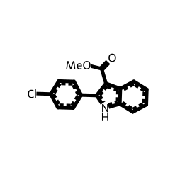 COC(=O)c1c(-c2ccc(Cl)cc2)[nH]c2ccccc12